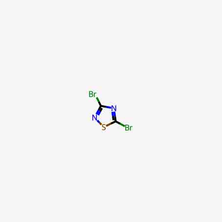 Brc1nsc(Br)n1